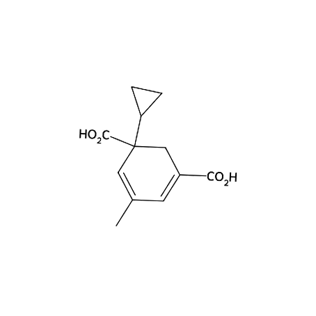 CC1=CC(C(=O)O)(C2CC2)CC(C(=O)O)=C1